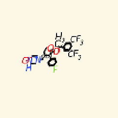 C[C@@H](O[C@H]1OCC[C@H](CN2CC[NH+]([O-])CC2)[C@H]1c1ccc(F)cc1)c1cc(C(F)(F)F)cc(C(F)(F)F)c1